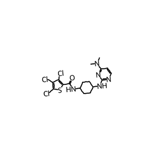 CN(C)c1ccnc(NC2CCC(NC(=O)c3sc(Cl)c(Cl)c3Cl)CC2)n1